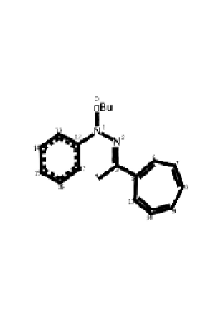 CCCCN(/N=C(\C)C1=CC=CC=C=C1)c1ccccc1